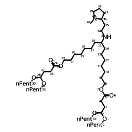 CCCCCOC(CCC(=O)OCCCCCCCC(CCCCCCCOC(=O)CCC(OCCCCC)OCCCCC)NCCC1CCCN1C)OCCCCC